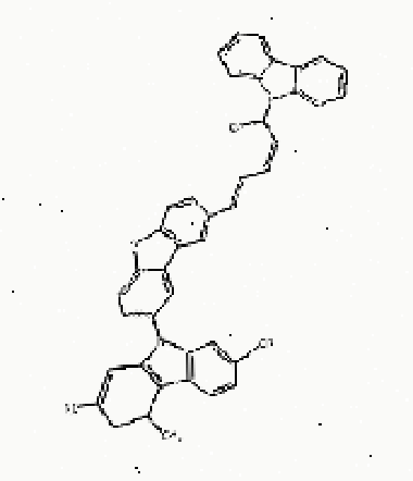 CCC(/C=C\C=C\c1ccc2oc3ccc(-n4c5c(c6ccc(C#N)cc64)C(C)CC(C#N)=C5)cc3c2c1)n1c2ccccc2c2ccccc21